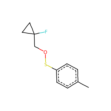 Cc1ccc(SOCC2(F)CC2)cc1